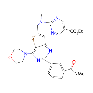 CCOC(=O)c1cnc(N(C)Cc2cc3nc(-c4cccc(C(=O)NC)c4)nc(N4CCOCC4)c3s2)nc1